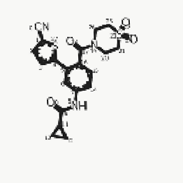 N#Cc1ccc(-c2cc(NC(=O)C3CC3)ccc2C(=O)N2CCS(=O)(=O)CC2)s1